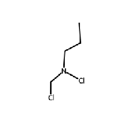 CCCN(Cl)CCl